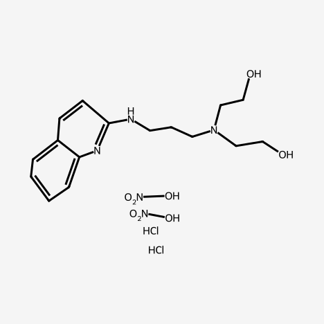 Cl.Cl.O=[N+]([O-])O.O=[N+]([O-])O.OCCN(CCO)CCCNc1ccc2ccccc2n1